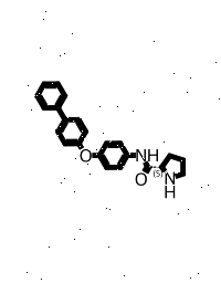 O=C(Nc1ccc(Oc2ccc(-c3ccccc3)cc2)cc1)[C@@H]1CCCN1